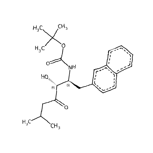 CC(C)CC(=O)[C@H](O)[C@H](Cc1ccc2ccccc2c1)NC(=O)OC(C)(C)C